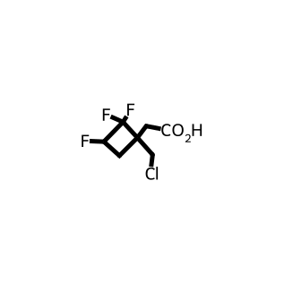 O=C(O)CC1(CCl)CC(F)C1(F)F